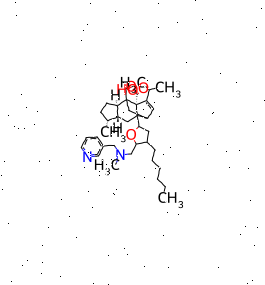 CCCCCCC1CC(C23C[C@@H]4[C@H](C)CC[C@H]4C4(C=O)CC2C=C(C(C)C)[C@@]34C(=O)O)OC1CN(C)Cc1cccnc1